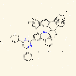 C1=CC2=C(c3cccc4c3c3c(-c5ccccc5)cccc3n4-c3c(C4=C[C@@H]5C=C5C=C4)cc(-c4nc(C5=CCCC=C5)cc(-c5ccccc5)n4)cc3-c3ccccc3)C2C=C1